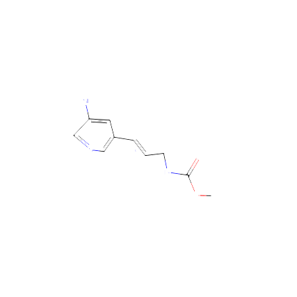 CC(C)(C)OC(=O)NC/C=C/c1cncc(N)c1